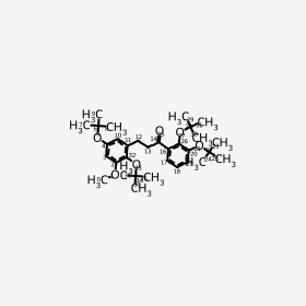 COc1cc(OC(C)(C)C)cc(CCC(=O)c2cccc(OC(C)(C)C)c2OC(C)(C)C)c1OC(C)(C)C